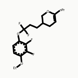 CCCC1=CCC(CCC(F)(F)Oc2ccc(OCC)c(F)c2F)CO1